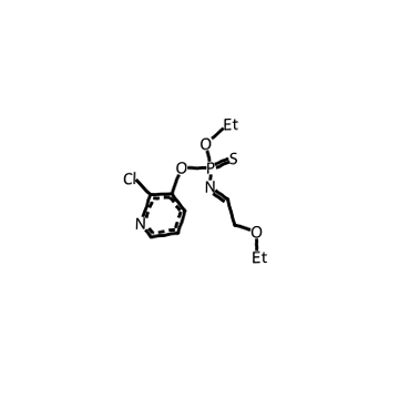 CCOCC=NP(=S)(OCC)Oc1cccnc1Cl